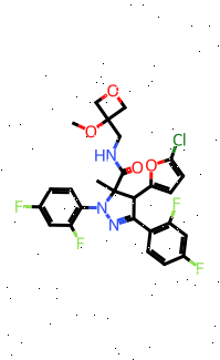 COC1(CNC(=O)C2(C)C(c3ccc(Cl)o3)C(c3ccc(F)cc3F)=NN2c2ccc(F)cc2F)COC1